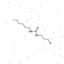 CCCCCCNC(=O)NCCCCl